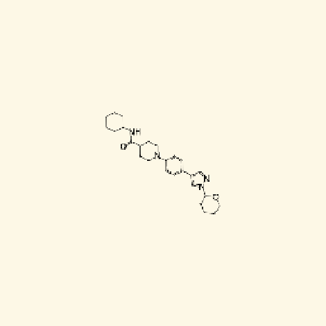 O=C(NC1CCCCC1)C1CCN(c2ccc(-c3cnn(C4CCCCO4)c3)cc2)CC1